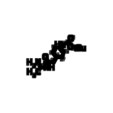 CC(N)NC(=O)Cc1ccc(NC(=O)OC(C)(C)C)cc1